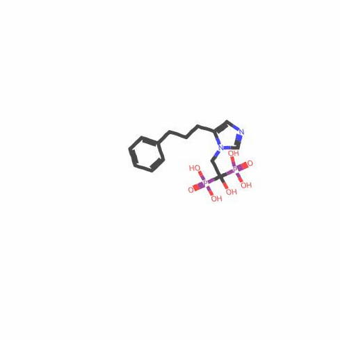 O=P(O)(O)C(O)(Cn1cncc1CCCc1ccccc1)P(=O)(O)O